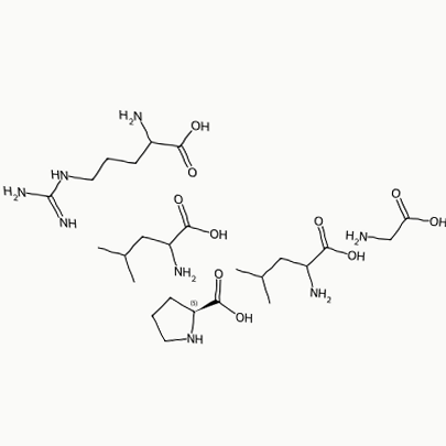 CC(C)CC(N)C(=O)O.CC(C)CC(N)C(=O)O.N=C(N)NCCCC(N)C(=O)O.NCC(=O)O.O=C(O)[C@@H]1CCCN1